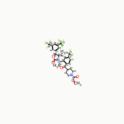 COC(=O)N1CCC(C(OC)c2ccc(C(F)(F)F)cc2CN2C(=O)O[C@H](c3cc(C(F)(F)F)cc(C(F)(F)F)c3)[C@@H]2C)CC1